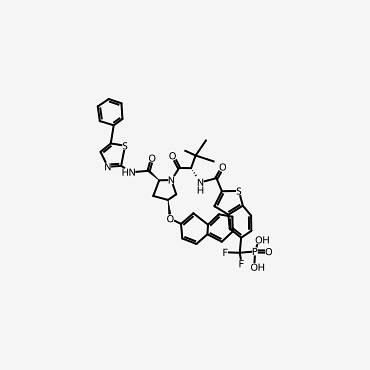 CC(C)(C)[C@H](NC(=O)c1cc2cc(C(F)(F)P(=O)(O)O)ccc2s1)C(=O)N1C[C@@H](Oc2ccc3ccccc3c2)C[C@H]1C(=O)Nc1ncc(-c2ccccc2)s1